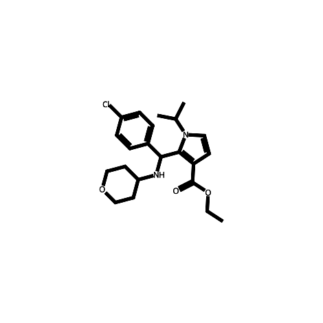 CCOC(=O)c1ccn(C(C)C)c1C(NC1CCOCC1)c1ccc(Cl)cc1